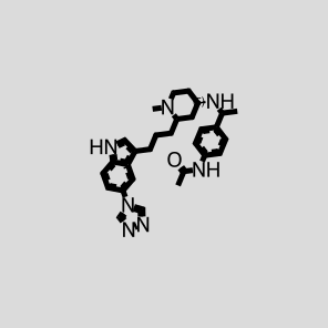 CC(=O)Nc1ccc(C(C)N[C@H]2CCN(C)C(CCCc3c[nH]c4ccc(-n5cnnc5)cc34)C2)cc1